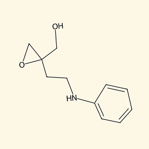 OCC1(CCNc2ccccc2)CO1